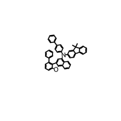 CC1(C)c2ccccc2-c2ccc(N(c3ccc(-c4ccccc4)cc3)c3cc4c(oc5cccc(-c6ccccc6)c54)c4ccccc34)cc21